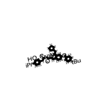 CC(C)c1ccc(C[C@H](NC(=O)c2cc3ccc(Oc4ccc(C(C)(C)C)cc4)cc3c(CC3CCCC3)n2)C(=O)O)cc1